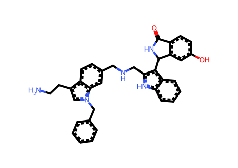 NCCc1cn(Cc2ccccc2)c2cc(CNCc3[nH]c4ccccc4c3C3NC(=O)c4ccc(O)cc43)ccc12